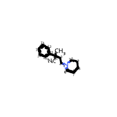 CC(C#N)(CCN1CCCCC1)c1ccccc1